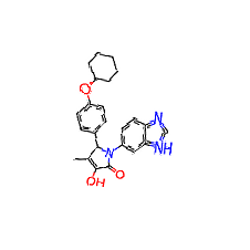 CC1=C(O)C(=O)N(c2ccc3nc[nH]c3c2)C1c1ccc(OC2CCCCC2)cc1